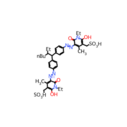 CCCCC(CC)C(c1ccc(/N=N/c2c(C)c(CS(=O)(=O)O)c(O)n(CC)c2=O)cc1)c1ccc(/N=N/c2c(C)c(CS(=O)(=O)O)c(O)n(CC)c2=O)cc1